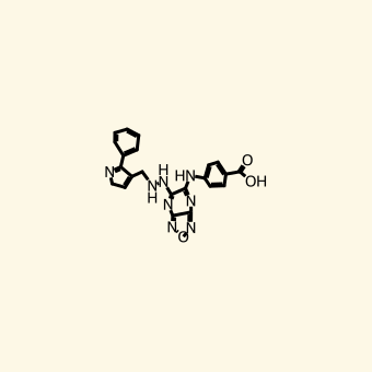 O=C(O)c1ccc(Nc2nc3nonc3nc2NNCC2=CCN=C2c2ccccc2)cc1